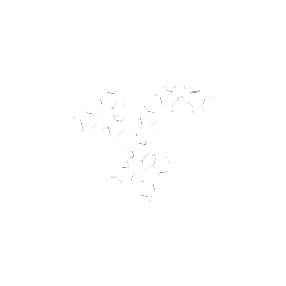 c1ccc2c(c1)-c1ccccc1C21c2ccccc2-c2cc(N(c3ccc(-c4ccc5sc6ccccc6c5c4)cc3)c3ccc4c5ccccc5c5ccccc5c4c3)ccc21